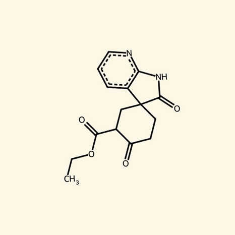 CCOC(=O)C1CC2(CCC1=O)C(=O)Nc1ncccc12